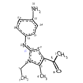 CCn1c(C)c(C(C)=O)s/c1=N\c1ccc(N)cc1